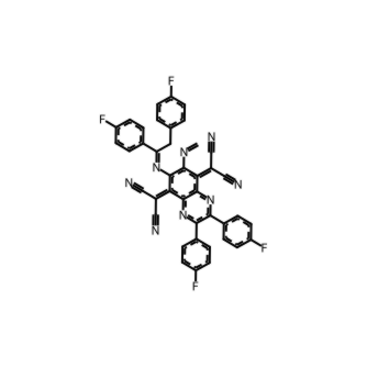 C=Nc1c(/N=C(\Cc2ccc(F)cc2)c2ccc(F)cc2)c(=C(C#N)C#N)c2nc(-c3ccc(F)cc3)c(-c3ccc(F)cc3)nc2c1=C(C#N)C#N